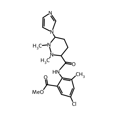 COC(=O)c1cc(Cl)cc(C)c1NC(=O)C1CCC(n2ccnc2)N(C)N1C